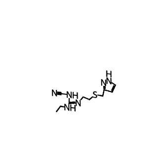 CCN/C(=N/CCSCc1cc[nH]n1)NC#N